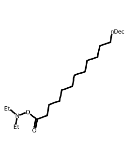 CCCCCCCCCCCCCCCCCCCCCC(=O)ON(CC)CC